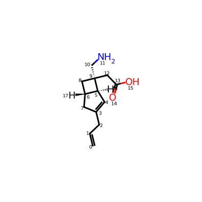 C=CCC1=C[C@H]2[C@H](C1)C[C@@]2(CN)CC(=O)O